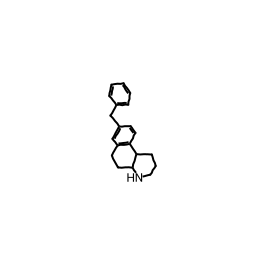 c1ccc(Cc2ccc3c(c2)CCC2NCCCC32)cc1